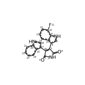 O=C1NC(=O)C(c2c[nH]c3c(F)cccc23)=C1c1c[nH]c2ccccc12